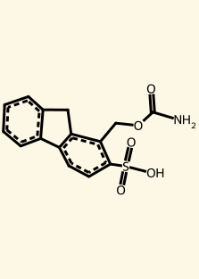 NC(=O)OCc1c(S(=O)(=O)O)ccc2c1Cc1ccccc1-2